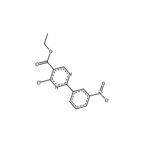 CCOC(=O)c1cnc(-c2cccc([N+](=O)[O-])c2)nc1Cl